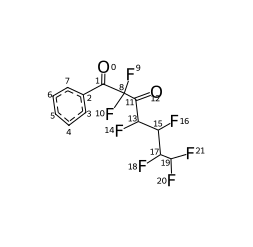 O=C(c1ccccc1)C(F)(F)C(=O)C(F)C(F)C(F)C(F)F